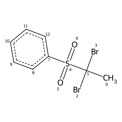 CC(Br)(Br)S(=O)(=O)c1ccccc1